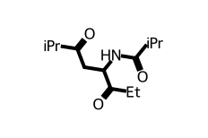 CCC(=O)C(CC(=O)C(C)C)NC(=O)C(C)C